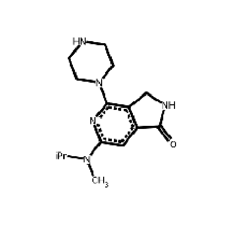 CC(C)N(C)c1cc2c(c(N3CCNCC3)n1)CNC2=O